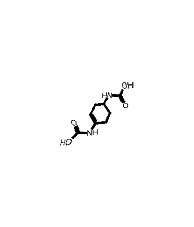 O=C(O)NC1=CCC(NC(=O)O)CC1